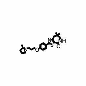 CC1CCCN1CCCOc1ccc(-c2nc3c(s2)C(=O)NCC(C)(C)C3)cc1